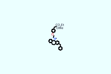 CCOC(=O)C(Cc1ccc(OCCN(C)C2c3ccccc3CCc3cc(Cc4ccccc4)ccc32)cc1)OC